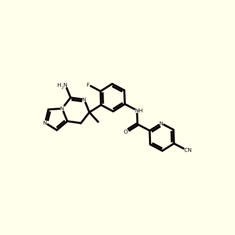 CC1(c2cc(NC(=O)c3ccc(C#N)cn3)ccc2F)Cc2cncn2C(N)=N1